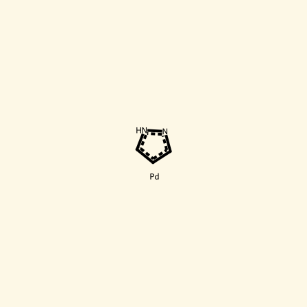 [Pd].c1cn[nH]c1